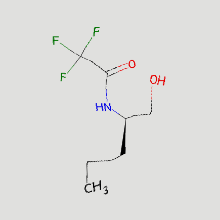 CCC[C@H](CO)NC(=O)C(F)(F)F